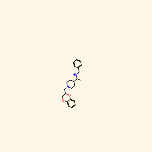 CC(NCc1ccccc1)C1CCN(CC2COc3ccccc3O2)CC1